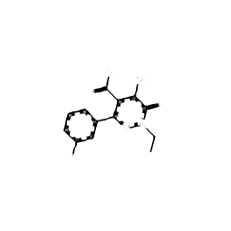 CCn1nc(-c2cccc(F)c2)c(C(N)=O)c(N)c1=O